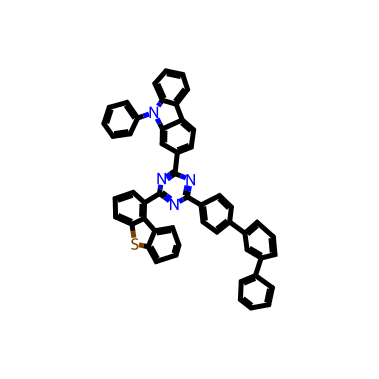 c1ccc(-c2cccc(-c3ccc(-c4nc(-c5ccc6c7ccccc7n(-c7ccccc7)c6c5)nc(-c5cccc6sc7ccccc7c56)n4)cc3)c2)cc1